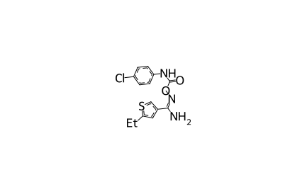 CCc1cc(/C(N)=N\OC(=O)Nc2ccc(Cl)cc2)cs1